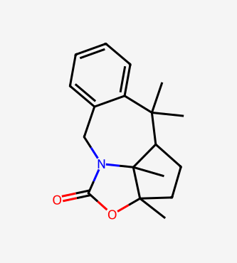 CC1(C)c2ccccc2CN2C(=O)OC3(C)CCC1C23C